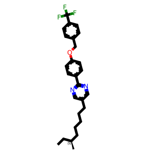 CC[C@H](C)CCCCCc1cnc(-c2ccc(OCc3ccc(C(F)(F)F)cc3)cc2)nc1